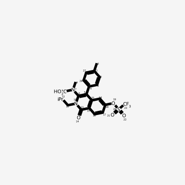 Cc1ccc(-c2c(N(C)C(=O)O)n(CC(C)C)c(=O)c3ccc(OS(=O)(=O)C(F)(F)F)cc23)cc1